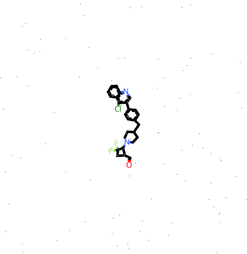 O=CC1CC(F)(F)C1N1CCC(Cc2ccc(-c3cnc4ccccc4c3Cl)cc2)CC1